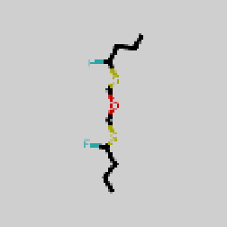 CCCC(F)SCOCSC(F)CCC